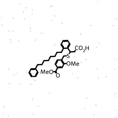 COC(=O)c1ccc(CSC(CC(=O)O)c2ccccc2CCCCCCCCc2ccccc2)c(OC)c1